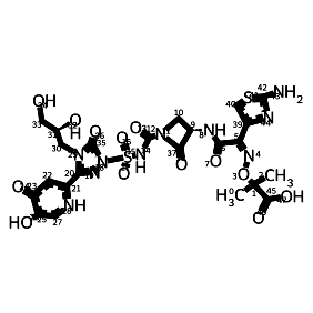 CC(C)(O/N=C(\C(=O)N[C@H]1CN(C(=O)NS(=O)(=O)n2nc(-c3cc(=O)c(O)c[nH]3)n(C[C@H](O)CO)c2=O)C1=O)c1csc(N)n1)C(=O)O